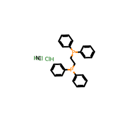 Cl.Cl.[Ni].c1ccc(P(CCP(c2ccccc2)c2ccccc2)c2ccccc2)cc1